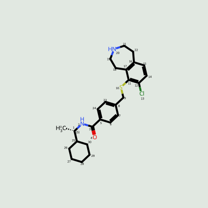 C[C@H](NC(=O)c1ccc(CSc2c(Cl)ccc3c2CCNCC3)cc1)C1CCCCC1